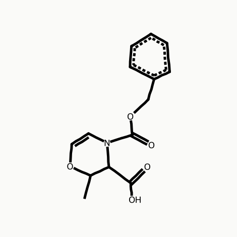 CC1OC=CN(C(=O)OCc2ccccc2)C1C(=O)O